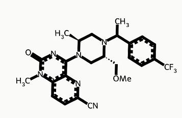 COC[C@@H]1CN(c2nc(=O)n(C)c3ccc(C#N)nc23)[C@@H](C)CN1C(C)c1ccc(C(F)(F)F)cc1